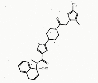 Cc1cc(C(F)(F)F)nn1CC(=O)N1CCC(c2nc(C(=O)N(C)[C@@]3(C=O)C=CCc4ccccc43)cs2)CC1